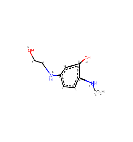 O=C(O)Nc1ccc(NCCO)cc1O